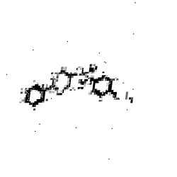 Cc1ccc(S(=O)(=O)OC2COC(c3ccccc3)OC2)cc1